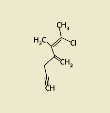 C#CCC(=C)/C(C)=C(/C)Cl